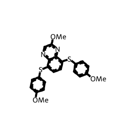 COc1ccc(Sc2ccc(Sc3ccc(OC)cc3)c3nc(OC)cnc23)cc1